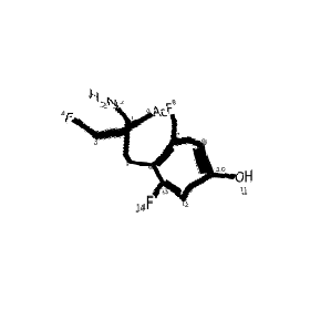 CC(=O)C(N)(CF)Cc1c(F)cc(O)cc1F